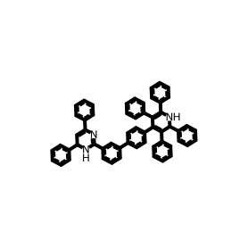 C1=C(c2ccccc2)N=C(c2cccc(-c3ccc(C4=C(c5ccccc5)C(c5ccccc5)NC(c5ccccc5)=C4c4ccccc4)cc3)c2)NC1c1ccccc1